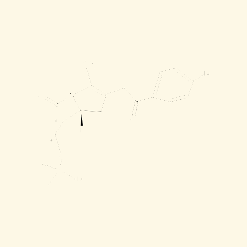 C[C@@H](O[Si](C)(C)C(C)(C)C)[C@@H]1C(=O)N2C(C(=O)O)=C(CC(=O)c3ccc(Br)cc3)C[C@H]12